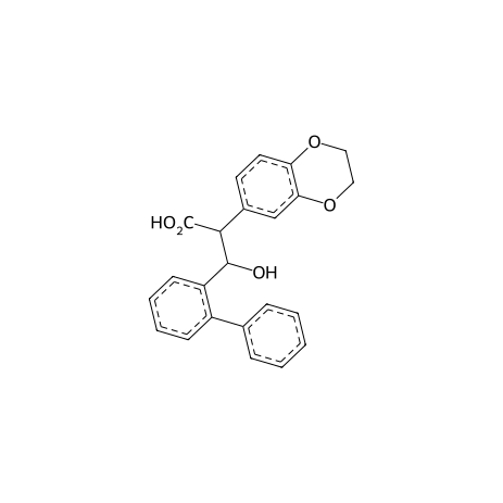 O=C(O)C(c1ccc2c(c1)OCCO2)C(O)c1ccccc1-c1ccccc1